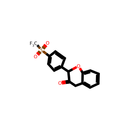 O=C1Cc2ccccc2OC1c1ccc(S(=O)(=O)C(F)(F)F)cc1